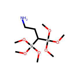 CO[Si](OC)(OC)C(CCN)[Si](OC)(OC)OC